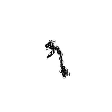 C=CCOCN1CCN(c2nc(O[C@H](C)CN3CCC(OCCOCCOCCOc4ccc5c(c4)C(=O)N(C4CCC(=O)NC4=O)C5=O)CC3)nc3c(F)c(-c4cc(O)cc5ccccc45)c(Cl)cc23)CC1